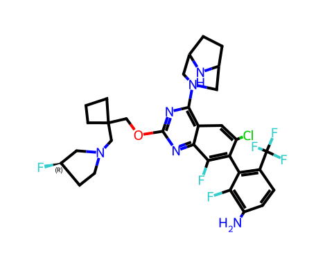 Nc1ccc(C(F)(F)F)c(-c2c(Cl)cc3c(N4CC5CCC(C4)N5)nc(OCC4(CN5CC[C@@H](F)C5)CCC4)nc3c2F)c1F